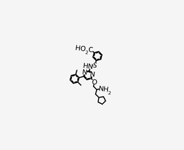 Cc1cccc(C)c1-c1cc(OCC(N)CC2CCCC2)nc(NSc2cccc(C(=O)O)c2)n1